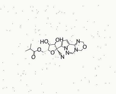 CC(C)C(=O)OC[C@H]1O[C@@](C#N)(c2ccc3n2N=CN2COCN=C32)[C@H](O)[C@@H]1O